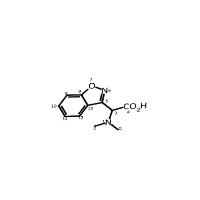 CN(C)C(C(=O)O)c1noc2ccccc12